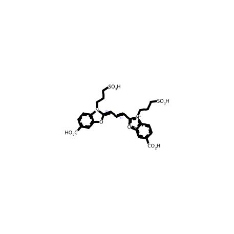 O=C(O)c1ccc2c(c1)O/C(=C\C=C\c1oc3cc(C(=O)O)ccc3[n+]1CCCS(=O)(=O)O)N2CCCS(=O)(=O)O